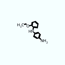 CCOc1ccccc1Nc1ccc(N)cc1